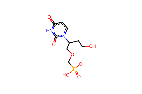 O=c1ccn(C(CCO)COCP(=O)(O)O)c(=O)[nH]1